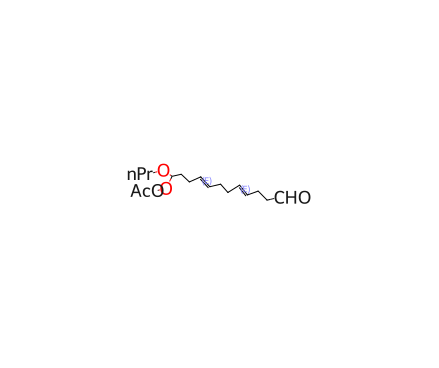 CCCOC(CC/C=C/CC/C=C/CCC=O)OOC(C)=O